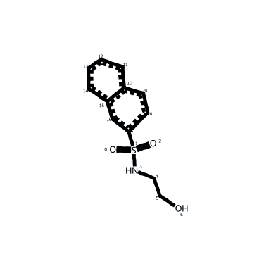 O=S(=O)(NCCO)c1ccc2ccccc2c1